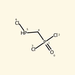 O=P(Cl)(Cl)CPCl